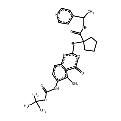 Cc1c(NC(=O)OC(C)(C)C)ccc2nc(NC3(C(=O)NC(C)c4ccncc4)CCCC3)oc(=O)c12